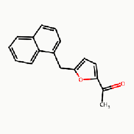 CC(=O)c1ccc(Cc2cccc3ccccc23)o1